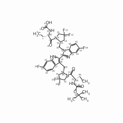 CC[C@H](NC(=O)O)C(=O)N1CC(F)(F)C[C@H]1Cn1c(-c2[nH]c3cc(F)ccc3c2C[C@@H]2CC(F)(F)CN2C(=O)[C@H](CC)NC(=O)OC(C)(C)C)nc2cc(F)ccc21